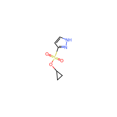 O=S(=O)(OC1CC1)c1cc[nH]n1